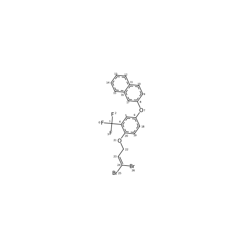 FC(F)(F)c1cc(Oc2ccc3ccccc3c2)ccc1OCC=C(Br)Br